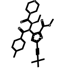 CC[C@H](C(=O)N1CCOCC1)N(C(=O)C1CCC(C)CC1)c1cc(C#CC(C)(C)C)sc1C(=O)OC